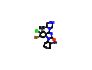 CC(C)c1ccccc1-n1c(=O)nc(N2CCNCC2C)c2cc(Cl)c(Br)cc21